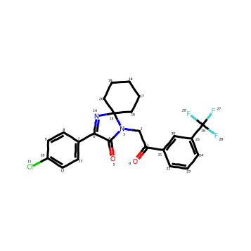 O=C(CN1C(=O)C(c2ccc(Cl)cc2)=NC12CCCCC2)c1cccc(C(F)(F)F)c1